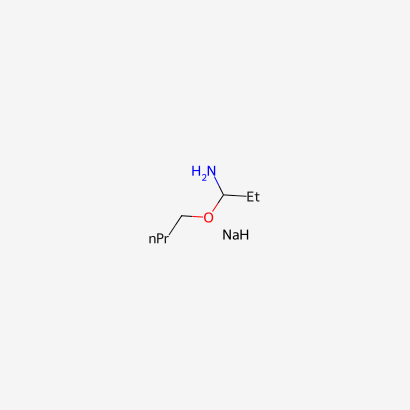 CCCCOC(N)CC.[NaH]